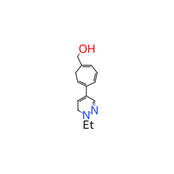 CCN1CC=C(C2=CCC(CO)=CC=C2)C=N1